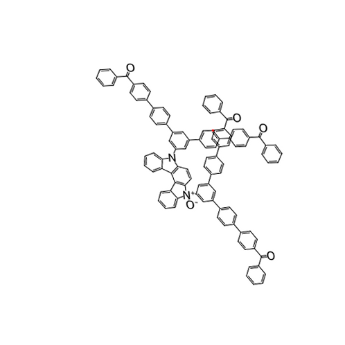 O=C(c1ccccc1)c1ccc(-c2ccc(-c3cc(-c4ccc(-c5ccc(C(=O)c6ccccc6)cc5)cc4)cc(-n4c5ccccc5c5c6c(ccc54)[N+]([O-])(c4cc(-c5ccc(-c7ccc(C(=O)c8ccccc8)cc7)cc5)cc(-c5ccc(-c7ccc(C(=O)c8ccccc8)cc7)cc5)c4)c4ccccc4-6)c3)cc2)cc1